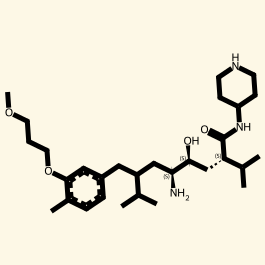 COCCCOc1cc(CC(C[C@H](N)[C@@H](O)C[C@H](C(=O)NC2CCNCC2)C(C)C)C(C)C)ccc1C